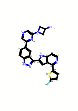 NC1CN(c2cncc(-c3ccc4[nH]nc(-c5cc6c(-c7ccc(F)s7)nccc6[nH]5)c4c3)n2)C1